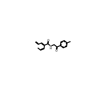 C=C/C=C(\C=C/C)C(=O)NCC(=O)c1ccc(C)cc1